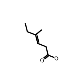 CC/C(C)=C/CC([O])=O